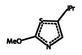 COc1ncc(C(C)C)s1